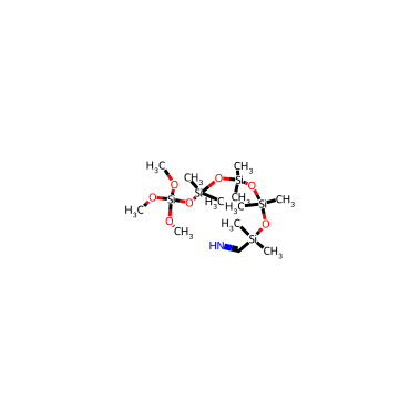 CO[Si](OC)(OC)O[Si](C)(C)O[Si](C)(C)O[Si](C)(C)O[Si](C)(C)C=N